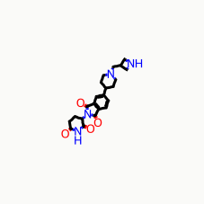 O=C1CCC(N2C(=O)c3ccc(C4CCN(CC5CNC5)CC4)cc3C2=O)C(=O)N1